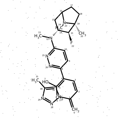 C=C(/C=C\C(=C(/C)O)c1ccc(N(C)[C@@H]2CC3CC[C@@](C)([C@H]2F)N3C)nn1)n1nnc(C)n1